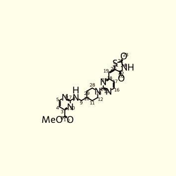 COC(=O)c1ccnc(NCC2CCN(c3nccc(C=C4SC(=O)NC4=O)n3)CC2)n1